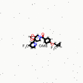 COc1cc(C(=O)N2CCC3(c4cc(C(F)(F)F)ccn4)OCOC3C2)ccc1OCC1(C(F)(F)F)CC1